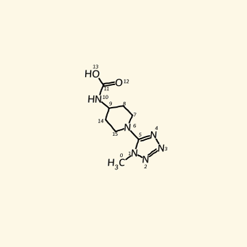 Cn1nnnc1N1CCC(NC(=O)O)CC1